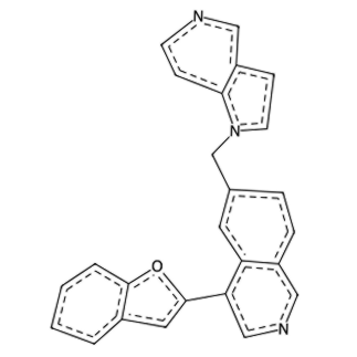 c1ccc2oc(-c3cncc4ccc(Cn5ccc6cnccc65)cc34)cc2c1